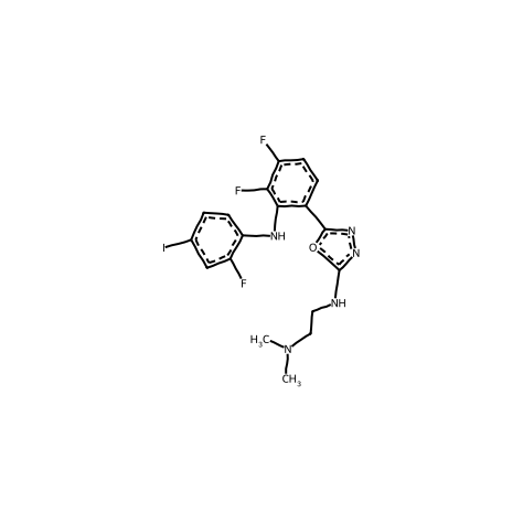 CN(C)CCNc1nnc(-c2ccc(F)c(F)c2Nc2ccc(I)cc2F)o1